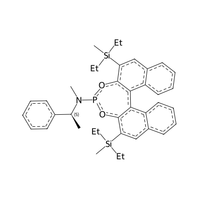 CC[Si](C)(CC)c1cc2ccccc2c2c1op(N(C)[C@@H](C)c1ccccc1)oc1c([Si](C)(CC)CC)cc3ccccc3c12